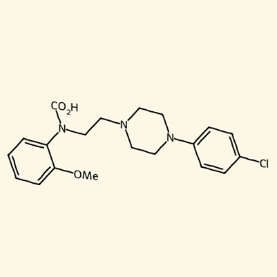 COc1ccccc1N(CCN1CCN(c2ccc(Cl)cc2)CC1)C(=O)O